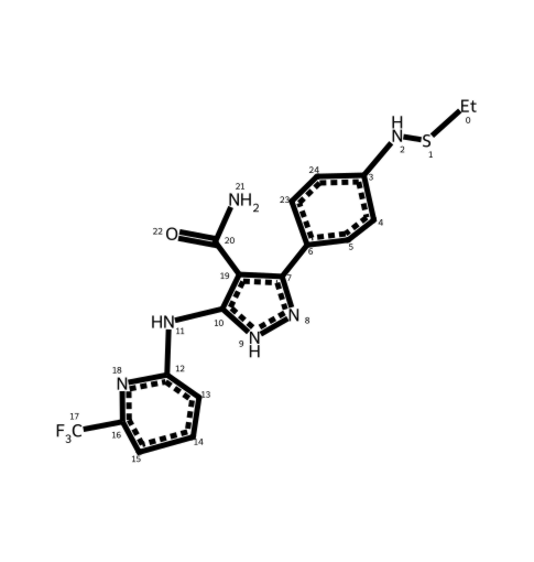 CCSNc1ccc(-c2n[nH]c(Nc3cccc(C(F)(F)F)n3)c2C(N)=O)cc1